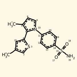 Cc1csc(-c2c(C)ccn2-c2ccc(S(N)(=O)=O)cc2)c1